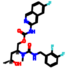 [CH2][C@@H](O)C[C@@H](COC(=O)Nc1cc2cc(F)ccc2cn1)N(C)C(=O)NCc1cccc(F)c1F